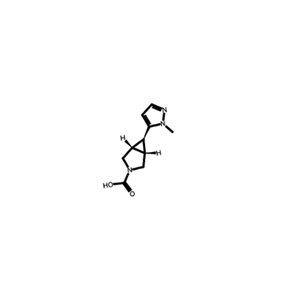 Cn1nccc1[C@H]1[C@@H]2CN(C(=O)O)C[C@@H]21